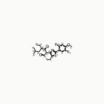 CCc1sc(-c2cc(F)c(OC)cc2F)nc1C(C=O)C(=O)[C@H](CC)CC(C)C